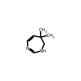 CC1(C)C=CN=CNC1